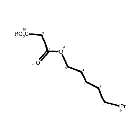 CC(C)CCCCCOC(=O)CC(=O)O